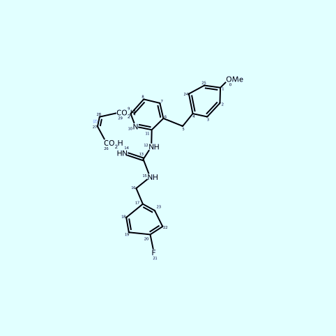 COc1ccc(Cc2cccnc2NC(=N)NCc2ccc(F)cc2)cc1.O=C(O)/C=C\C(=O)O